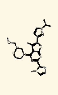 COC[C@H]1CN(c2nc(-c3nccn3C)nc3sc(-c4ccn(C(C)C)n4)c(C)c23)CCO1